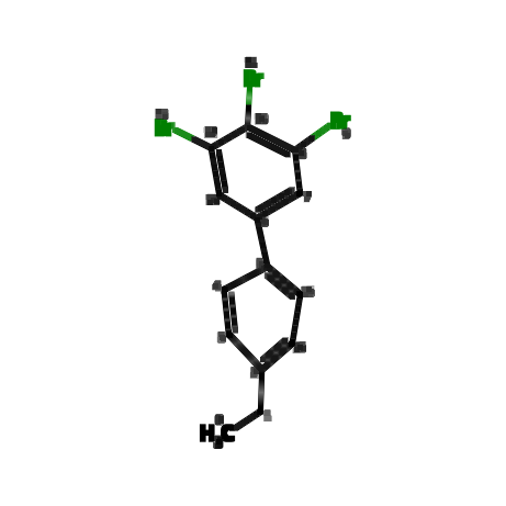 CCc1ccc(-c2cc(Br)c(Br)c(Br)c2)cc1